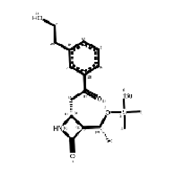 C[C@@H](O[Si](C)(C)C(C)(C)C)[C@H]1C(=O)N[C@@H]1CC(=O)c1cccc(CCO)c1